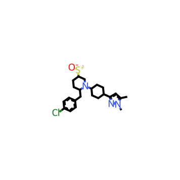 Cc1cc(C2CCC(N3CC([S+](C)[O-])CCC3Cc3ccc(Cl)cc3)CC2)nn1C